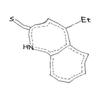 CCc1cc(=S)[nH]c2ccccc12